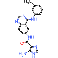 Cc1cccc(Nc2ncnc3ccc(NC(=O)c4nc[nH]c4N)cc23)c1